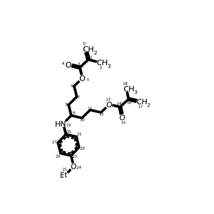 C=C(C)C(=O)OCCCC(CCCOC(=O)C(=C)C)Nc1ccc(OCC)cc1